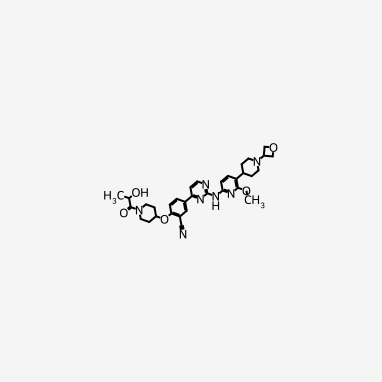 COc1nc(Nc2nccc(-c3ccc(OC4CCN(C(=O)C(C)O)CC4)c(C#N)c3)n2)ccc1C1CCN(C2COC2)CC1